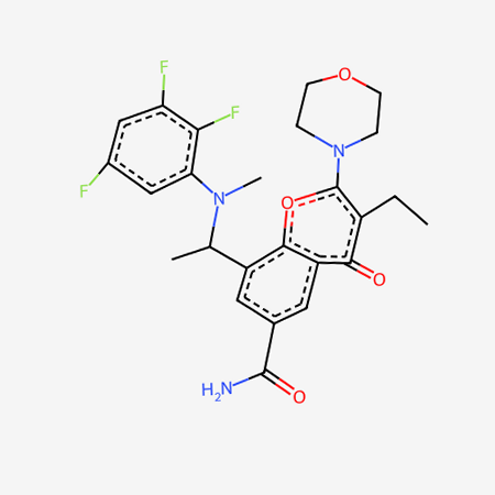 CCc1c(N2CCOCC2)oc2c(C(C)N(C)c3cc(F)cc(F)c3F)cc(C(N)=O)cc2c1=O